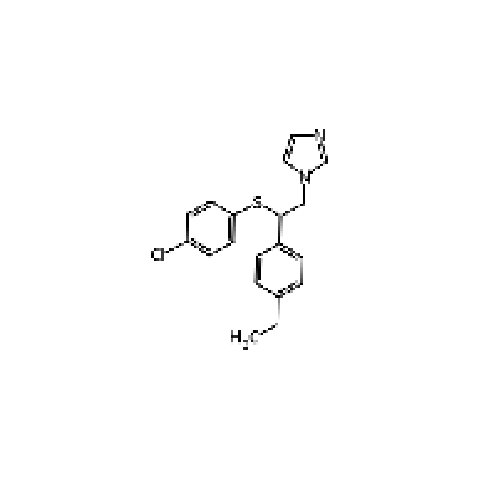 CCc1ccc(C(Cn2ccnc2)Sc2ccc(Cl)cc2)cc1